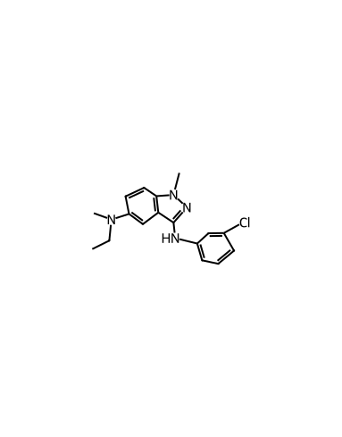 CCN(C)c1ccc2c(c1)c(Nc1cccc(Cl)c1)nn2C